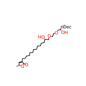 CCCCCCCCCCC(O)COCCOCC(O)CCCCCCCCCCCCC1=C[C@H](C)OC1=O